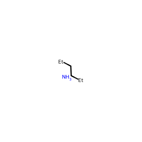 N.[CH2]CCCC[CH2]